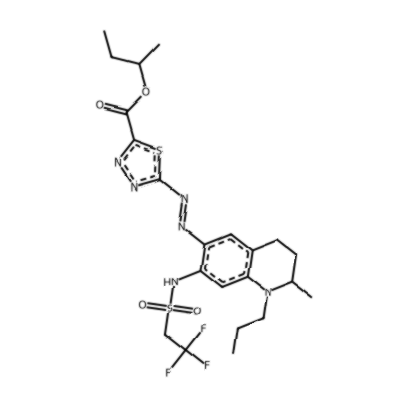 CCCN1c2cc(NS(=O)(=O)CC(F)(F)F)c(N=Nc3nnc(C(=O)OC(C)CC)s3)cc2CCC1C